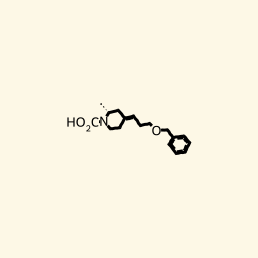 C[C@@H]1C/C(=C/CCOCc2ccccc2)CCN1C(=O)O